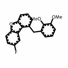 COc1cccc(Cc2[c]ccc3oc4ccc(F)cc4c23)c1OC